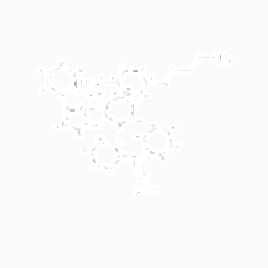 CCCCCc1ccc([SiH2]C(c2ccccc2)(c2ccccc2)n2ccnc2)cc1.c1ccc(B(c2ccccc2)C2CC2)cc1